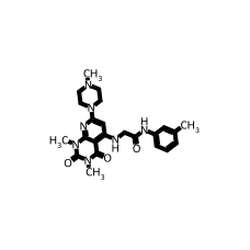 Cc1cccc(NC(=O)CNc2cc(N3CCN(C)CC3)nc3c2c(=O)n(C)c(=O)n3C)c1